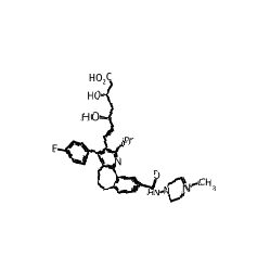 CC(C)c1nc2c(c(-c3ccc(F)cc3)c1/C=C/[C@@H](O)C[C@@H](O)CC(=O)O)CCCc1ccc(C(=O)NN3CCN(C)CC3)cc1-2